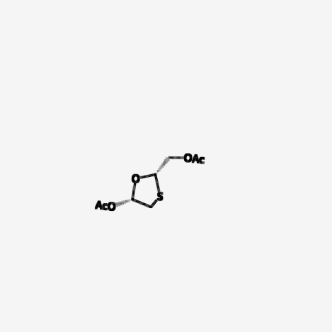 CC(=O)OC[C@H]1O[C@@H](OC(C)=O)CS1